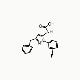 O=C(O)Nc1cc(Cc2ccccc2)nn1-c1cccc(F)c1